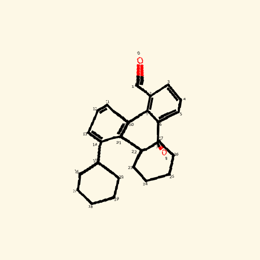 O=Cc1cccc(C=O)c1-c1cccc(C2CCCCC2)c1C1CCCCC1